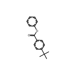 CC(C)(C)c1ccc(C(=O)Oc2ccccc2)cc1